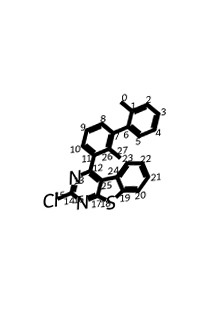 Cc1ccccc1-c1cccc(-c2nc(Cl)nc3sc4ccccc4c23)c1C